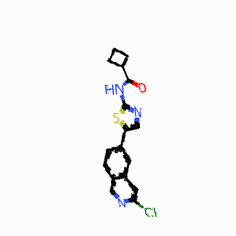 O=C(Nc1ncc(-c2ccc3cnc(Cl)cc3c2)s1)C1CCC1